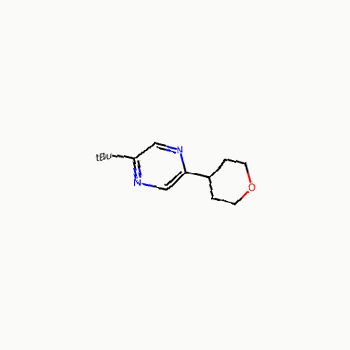 CC(C)(C)c1cnc(C2CCOCC2)cn1